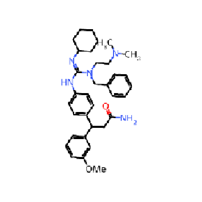 COc1cccc(C(CC(N)=O)c2ccc(N/C(=N/C3CCCCC3)N(CCN(C)C)Cc3ccccc3)cc2)c1